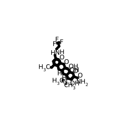 CCc1cc(CNCCC(F)(F)F)c(O)c2c1C[C@H]1C[C@H]3[C@H](N(C)C)C(O)=C(C(N)=O)C(=O)[C@@]3(O)C(O)=C1C2=O